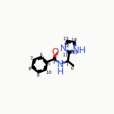 CC(NC(=O)c1[c]cccc1)c1ncc[nH]1